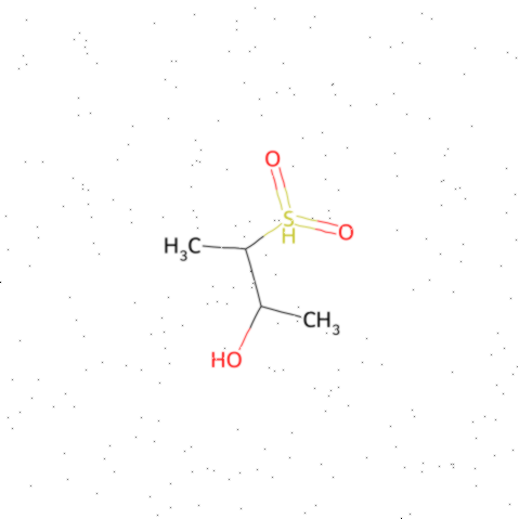 CC(O)C(C)[SH](=O)=O